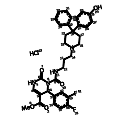 COC(=O)C1=CNC(=O)N(C(=O)NCCCN2CCC(c3ccccc3)(c3ccc(O)cc3)CC2)C1c1ccc(F)c(F)c1.Cl